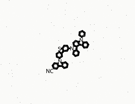 N#Cc1ccc2c(c1)c1ccccc1n2-c1ccc2sc3ccc(-n4c5ccccc5c5c6c7ccccc7n(-c7ccccc7)c6ccc54)cc3c2c1